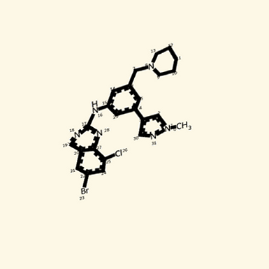 Cn1cc(-c2cc(CN3CCCCC3)cc(Nc3ncc4cc(Br)cc(Cl)c4n3)c2)cn1